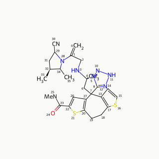 C=C(CN[C@@H](C)CC1(c2nn[nH]n2)c2ccsc2CCc2sc(C(=O)NC)cc21)N1C(C#N)C[C@H](C)C1C